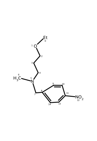 CCOCCCN(C)Cc1ccc([N+](=O)[O-])cc1